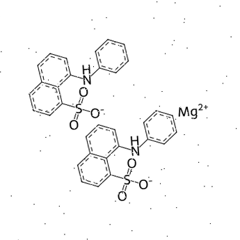 O=S(=O)([O-])c1cccc2cccc(Nc3ccccc3)c12.O=S(=O)([O-])c1cccc2cccc(Nc3ccccc3)c12.[Mg+2]